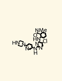 CNC(=O)c1ccccc1Nc1nc(Nc2ccc(N3CCNCC3)nc2)ncc1Cl